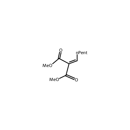 CCCCCC=C(C(=O)OC)C(=O)OC